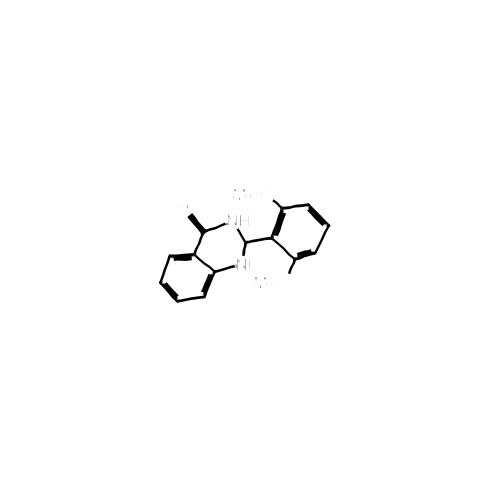 COc1cccc(OC)c1C1NC(=O)c2ccccc2N1